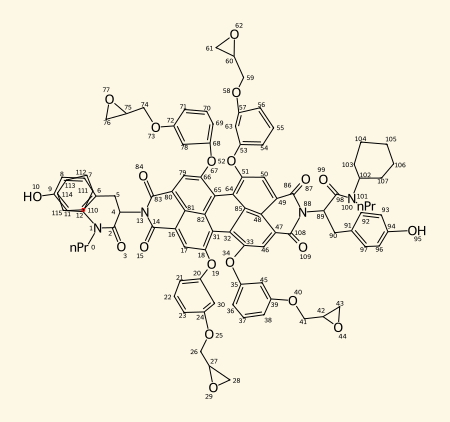 CCCN(C(=O)C(Cc1ccc(O)cc1)N1C(=O)c2cc(Oc3cccc(OCC4CO4)c3)c3c4c(Oc5cccc(OCC6CO6)c5)cc5c6c(cc(Oc7cccc(OCC8CO8)c7)c(c7c(Oc8cccc(OCC9CO9)c8)cc(c2c37)C1=O)c64)C(=O)N(C(Cc1ccc(O)cc1)C(=O)N(CCC)C1CCCCC1)C5=O)C1CCCCC1